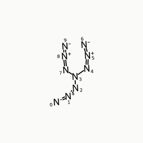 [N-]=[N+]=NN(N=[N+]=[N-])N=[N+]=[N-]